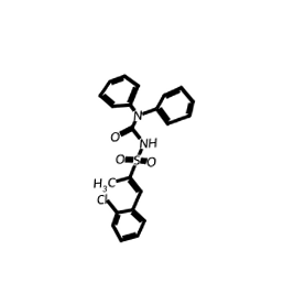 CC(=Cc1ccccc1Cl)S(=O)(=O)NC(=O)N(c1ccccc1)c1ccccc1